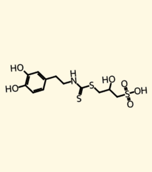 O=S(=O)(O)CC(O)CSC(=S)NCCc1ccc(O)c(O)c1